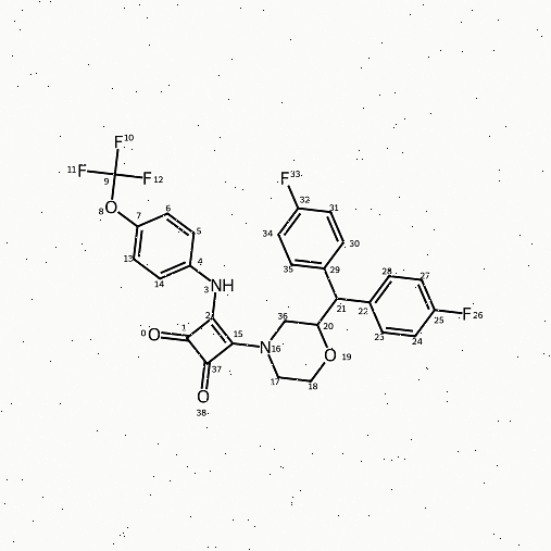 O=c1c(Nc2ccc(OC(F)(F)F)cc2)c(N2CCOC(C(c3ccc(F)cc3)c3ccc(F)cc3)C2)c1=O